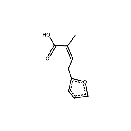 CC(=CCc1ccco1)C(=O)O